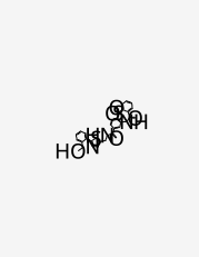 O=C(NCc1cnc(-c2ccccc2CO)s1)c1ccc2c(c1)NC(=O)c1ccccc1S2(=O)=O